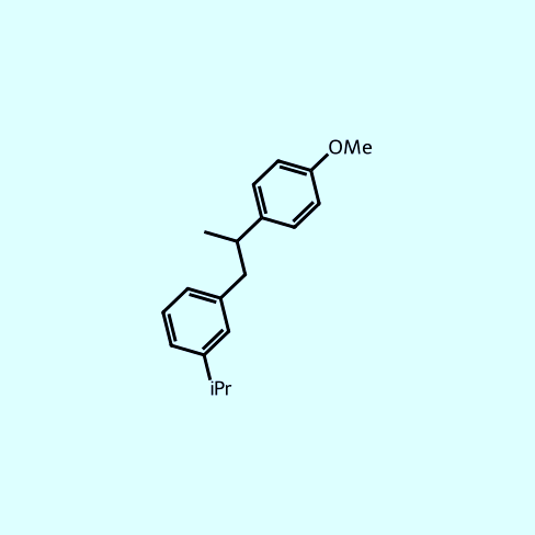 COc1ccc(C(C)Cc2cccc(C(C)C)c2)cc1